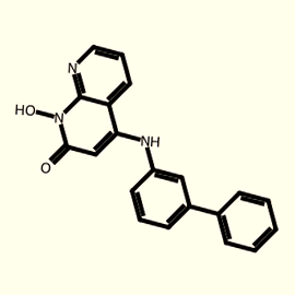 O=c1cc(Nc2cccc(-c3ccccc3)c2)c2cccnc2n1O